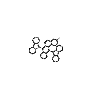 Cc1ccc2c(ccc3c(-n4c5ccccc5c5ccccc54)c4ccccc4c(-n4c5ccccc5c5ccccc54)c32)c1